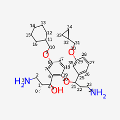 C[C@H](CN)[C@H](O)c1cc(OCC2CCCCC2)ccc1OC(CCN)c1cccc(OCC2CC2)c1